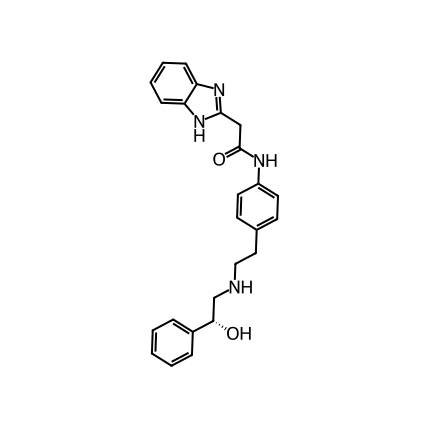 O=C(Cc1nc2ccccc2[nH]1)Nc1ccc(CCNC[C@H](O)c2ccccc2)cc1